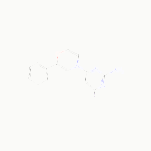 Nc1nc(I)cc(N2C=COC(C3=CC=CCC3)=C2)n1